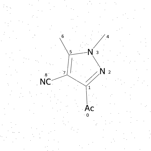 CC(=O)c1nn(C)c(C)c1C#N